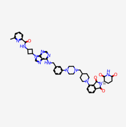 Cc1cccc(C(=O)NC2CC(n3cnc4c(NCc5cccc(N6CCN(CC7CCN(c8cccc9c8C(=O)N([C@H]8CCC(=O)NC8=O)C9=O)CC7)CC6)c5)ncnc43)C2)n1